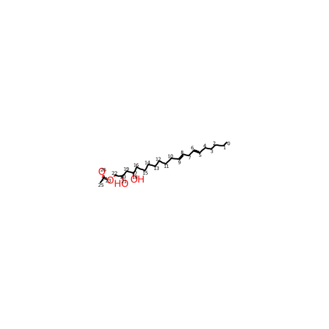 CCCCCC=CCC=CCCCCCCCC(O)CC(O)COC(C)=O